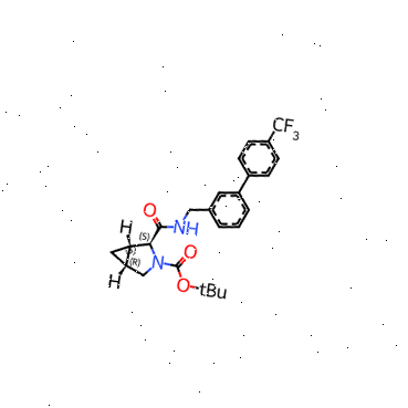 CC(C)(C)OC(=O)N1C[C@@H]2C[C@@H]2[C@H]1C(=O)NCc1cccc(-c2ccc(C(F)(F)F)cc2)c1